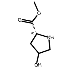 COC(=O)[C@H]1CC(O)CN1